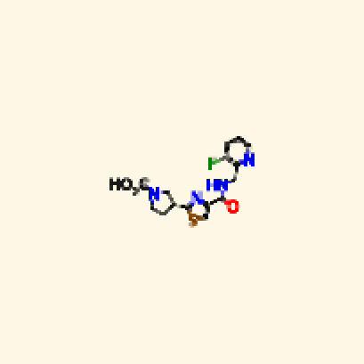 O=C(NCc1ncccc1F)c1csc(C2CCN(C(=O)O)C2)n1